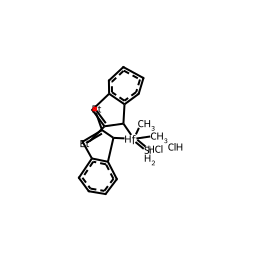 CCC1=Cc2ccccc2[CH]1[Hf]([CH3])([CH3])(=[SiH2])[CH]1C(CC)=Cc2ccccc21.Cl.Cl